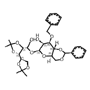 CC1(C)O[C@@H]([C@H]2COC(C)(C)O2)[C@@H](C(O)O[C@@H]2O[C@@H]3COC(c4ccccc4)O[C@H]3[C@H](OCc3ccccc3)[C@@H]2O)O1